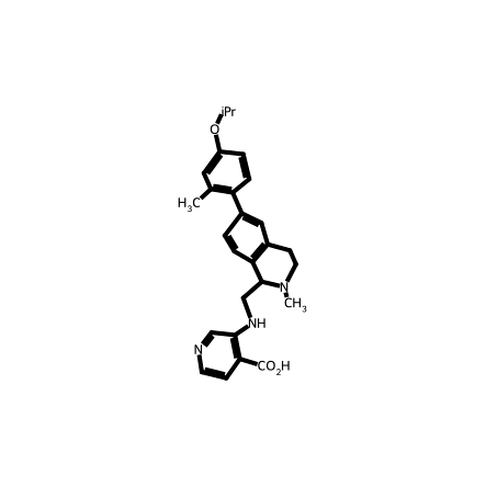 Cc1cc(OC(C)C)ccc1-c1ccc2c(c1)CCN(C)C2CNc1cnccc1C(=O)O